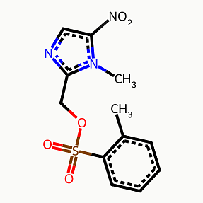 Cc1ccccc1S(=O)(=O)OCc1ncc([N+](=O)[O-])n1C